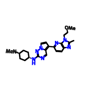 CN[C@H]1CC[C@H](Nc2ncc3c(-c4ccc5nc(C)n(CCOC)c5n4)ccn3n2)CC1